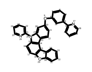 c1ccc(-c2cccc(Oc3ccc4c5c6c(ccc5n(-c5ccccn5)c4c3)oc3ccccc36)c2)nc1